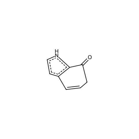 O=C1CC=Cc2cc[nH]c21